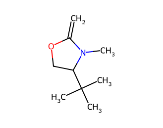 C=C1OCC(C(C)(C)C)N1C